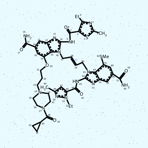 CCc1nc(C)sc1C(=O)Nc1nc2cc(C(N)=O)cc(OCCCN3CCN(C(=O)C4CC4)CC3)c2n1C/C=C/Cn1c(NC(=O)c2cc(C)nn2CC)nc2cc(C(N)=O)cc(SC)c21